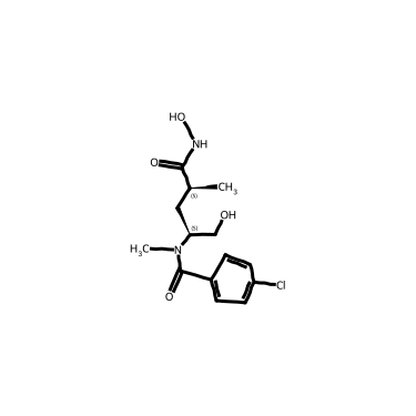 C[C@@H](C[C@@H](CO)N(C)C(=O)c1ccc(Cl)cc1)C(=O)NO